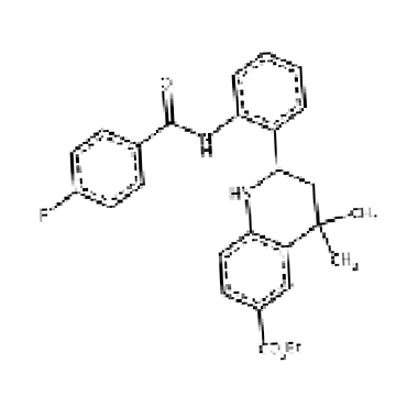 CCOC(=O)c1ccc2c(c1)C(C)(C)CC(c1ccccc1NC(=O)c1ccc(F)cc1)N2